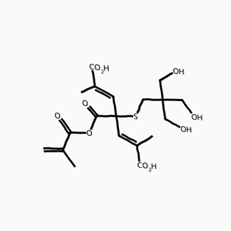 C=C(C)C(=O)OC(=O)C(C=C(C)C(=O)O)(C=C(C)C(=O)O)SCC(CO)(CO)CO